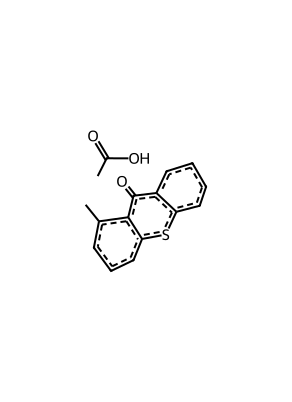 CC(=O)O.Cc1cccc2sc3ccccc3c(=O)c12